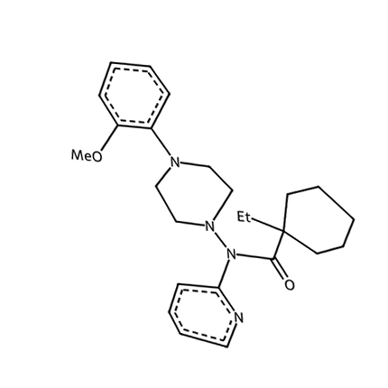 CCC1(C(=O)N(c2ccccn2)N2CCN(c3ccccc3OC)CC2)CCCCC1